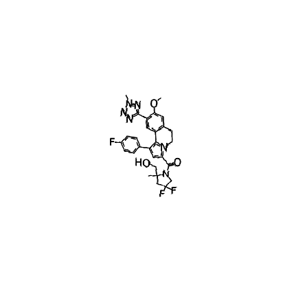 COc1cc2c(cc1-c1nnn(C)n1)-c1c(-c3ccc(F)cc3)cc(C(=O)N3CC(F)(F)CC3(C)CO)n1CC2